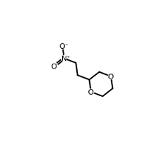 O=[N+]([O-])CCC1COCCO1